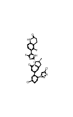 C[C@H]1Cc2cc(-c3cc(Cl)ccc3-n3cc(Cl)nn3)cc(=O)n2[C@@H]1c1nc(F)c(-c2ccc3c(c2F)CCC(=O)N3)[nH]1